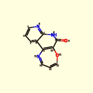 O=c1[nH]c2ncccc2c2c1OC=CC=N2